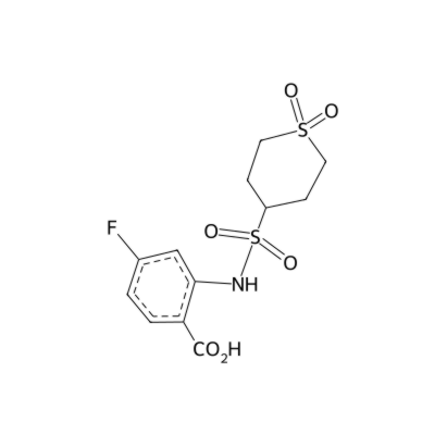 O=C(O)c1ccc(F)cc1NS(=O)(=O)C1CCS(=O)(=O)CC1